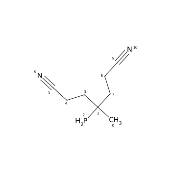 CC(P)(CCC#N)CCC#N